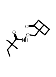 CCC(C)(C)C(=O)NOCC12CCC1CC2=O